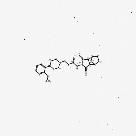 COc1ccccc1N1CCN(CCC(=O)NN2C(=O)C3C4CCC(O4)C3C2=O)CC1